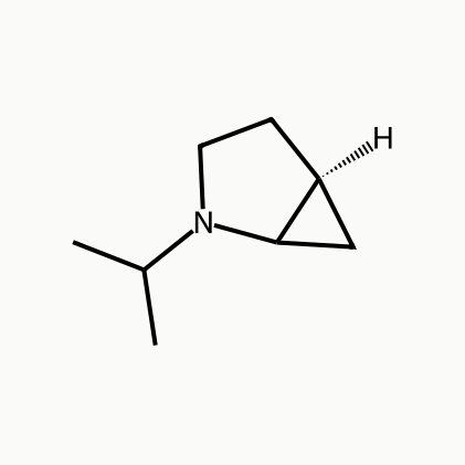 CC(C)N1CC[C@H]2CC21